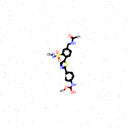 CC(C)OC(O)Nc1ccc(-c2ncc(-c3ccc(CNC(=O)C(C)C)cc3S(=O)(=O)NC(C)(C)C)s2)cc1